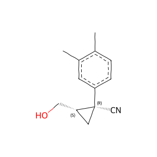 Cc1ccc([C@@]2(C#N)C[C@@H]2CO)cc1C